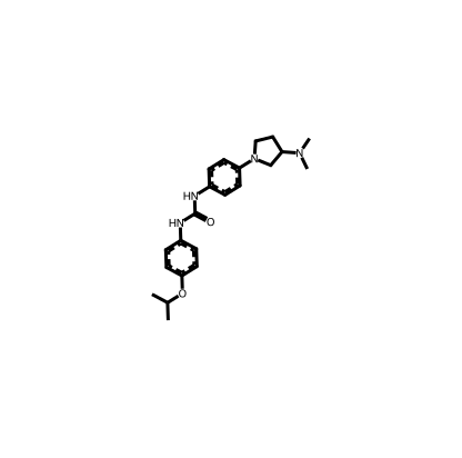 CC(C)Oc1ccc(NC(=O)Nc2ccc(N3CCC(N(C)C)C3)cc2)cc1